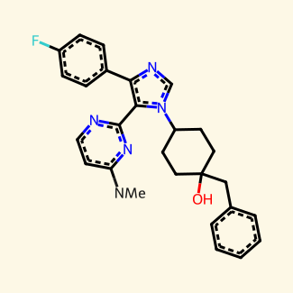 CNc1ccnc(-c2c(-c3ccc(F)cc3)ncn2C2CCC(O)(Cc3ccccc3)CC2)n1